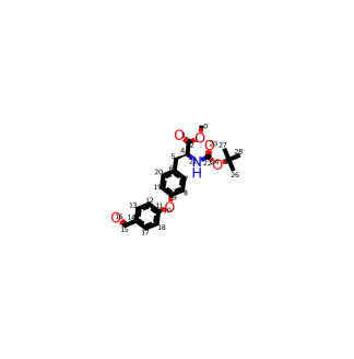 COC(=O)[C@H](Cc1ccc(Oc2ccc(C=O)cc2)cc1)NC(=O)OC(C)(C)C